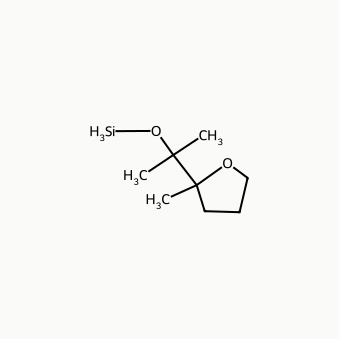 CC(C)(O[SiH3])C1(C)CCCO1